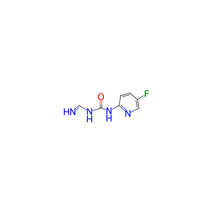 N=CNC(=O)Nc1ccc(F)cn1